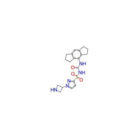 O=C(Nc1c2c(cc3c1CCC3)CCC2)NS(=O)(=O)c1ccn(C2CNC2)n1